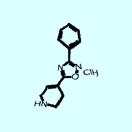 C1=C(c2nc(-c3ccccc3)no2)CCNC1.Cl